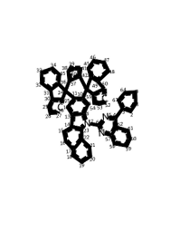 c1ccc(-c2nc(-n3c4cc5c(cc4c4ccc6ccccc6c43)C3(c4ccccc4-c4ccccc43)c3ccccc3C53c4ccccc4-c4ccccc43)nc3ccccc23)cc1